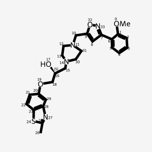 COc1ccccc1-c1cc(CN2CCN(C[C@H](O)COc3ccc4sc(C)nc4c3)CC2)on1